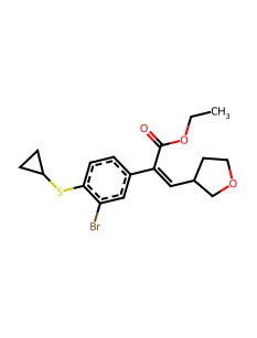 CCOC(=O)C(=CC1CCOC1)c1ccc(SC2CC2)c(Br)c1